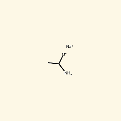 CC(N)[O-].[Na+]